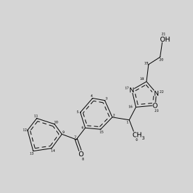 CC(c1cccc(C(=O)c2ccccc2)c1)c1nc(CCO)no1